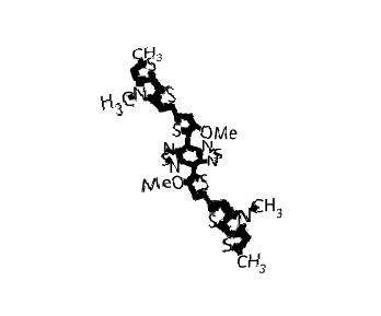 COc1cc(-c2cc3c(s2)c2sc(C)cc2n3C)sc1-c1c2c(c(-c3sc(-c4cc5c(s4)c4sc(C)cc4n5C)cc3OC)c3nsnc13)N=S=N2